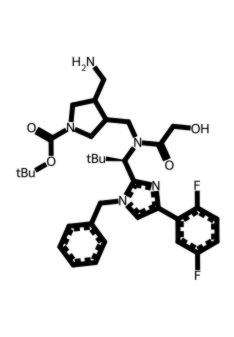 CC(C)(C)OC(=O)N1CC(CN)C(CN(C(=O)CO)[C@@H](c2nc(-c3cc(F)ccc3F)cn2Cc2ccccc2)C(C)(C)C)C1